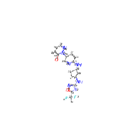 CC(F)(F)c1nc(N[C@H]2CC[C@H](Nc3ccc(-n4ncccc4=O)cn3)C2)no1